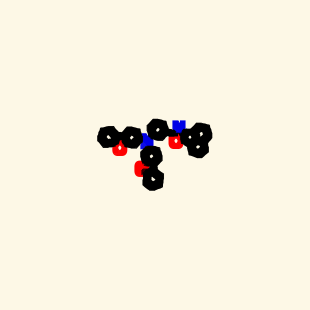 c1cc(-c2nc3c(o2)-c2cccc4cccc-3c24)cc(N(c2ccc3c(c2)oc2ccccc23)c2ccc3c(c2)oc2ccccc23)c1